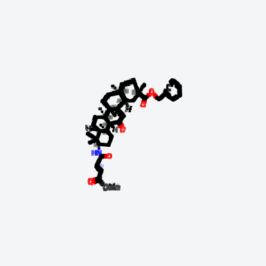 COC(=O)/C=C/C(=O)N[C@H]1CC[C@]2(C)[C@H]3C(=O)C=C4[C@@H]5C[C@@](C)(C(=O)OCc6ccccc6)CC[C@]5(C)CC[C@@]4(C)[C@]3(C)CC[C@H]2C1(C)C